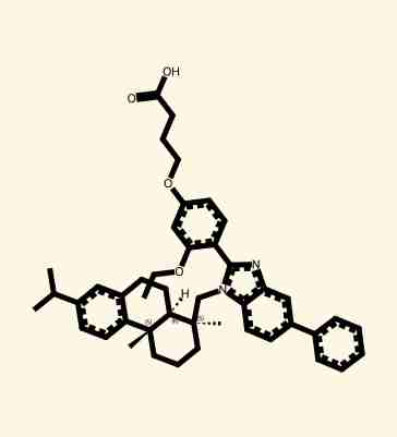 CCOc1cc(OCCCC(=O)O)ccc1-c1nc2cc(-c3ccccc3)ccc2n1C[C@@]1(C)CCC[C@]2(C)c3ccc(C(C)C)cc3CC[C@@H]12